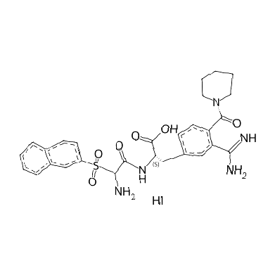 I.N=C(N)c1cc(C[C@H](NC(=O)C(N)S(=O)(=O)c2ccc3ccccc3c2)C(=O)O)ccc1C(=O)N1CCCCC1